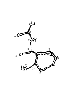 O=C(O)NC(=O)c1ccccc1O